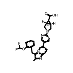 Cc1nc2ccc(-c3cnc(N4C[C@@H]5C(C(=O)O)[C@@H]5C4)nc3)cn2c1Cc1ccccc1OC(F)F